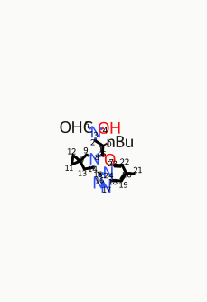 CCCC[C@H](CN(O)C=O)C(=O)N1CC2(CC2)C[C@H]1c1nnc2cc(C)ccn12